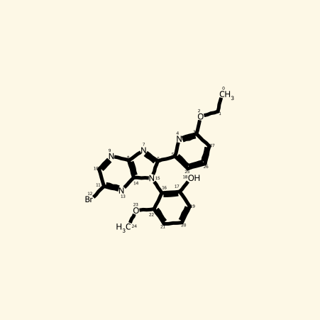 CCOC1=NC(c2nc3ncc(Br)nc3n2-c2c(O)cccc2OC)=C=C=C1